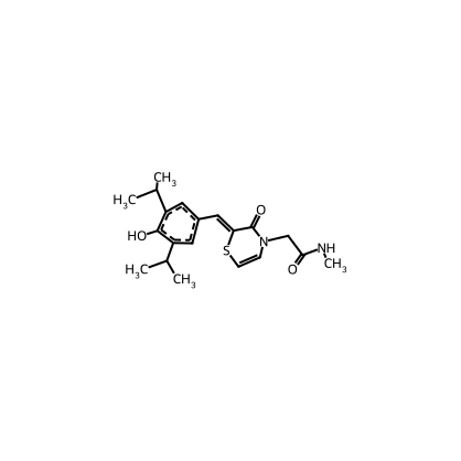 CNC(=O)CN1C=CSC(=Cc2cc(C(C)C)c(O)c(C(C)C)c2)C1=O